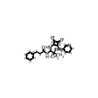 CC(C)(C)C(NC(=O)CCc1ccccc1)Nc1c(Nc2cccnc2)c(=O)c1=O